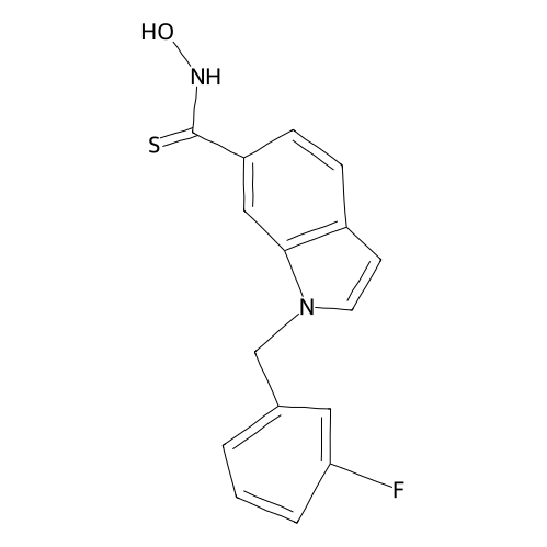 ONC(=S)c1ccc2ccn(Cc3cccc(F)c3)c2c1